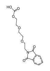 O=C(O)OCCOCCOCCN1C(=O)c2ccccc2C1=O